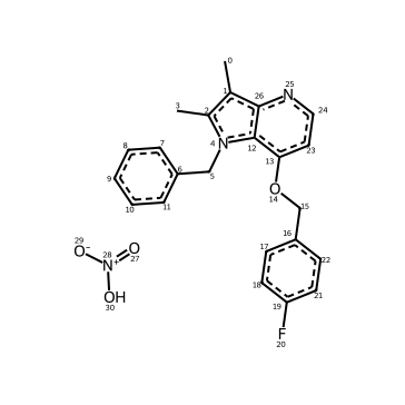 Cc1c(C)n(Cc2ccccc2)c2c(OCc3ccc(F)cc3)ccnc12.O=[N+]([O-])O